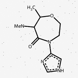 CNC1C(=O)N(c2c[nH]cn2)CCOC1C